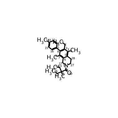 CCc1c(C)c2c(c(C)c1-c1ccc(C)cc1)CN(C(=O)C(C)(CC)CC)CC2